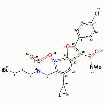 CCC(C)CCCN(Cc1nc2oc(-c3ccc(Cl)cc3)c(C(=O)NC)c2cc1C1CC1)[SH](=O)=O